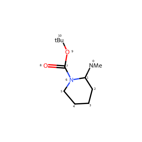 CNC1CCCCN1C(=O)OC(C)(C)C